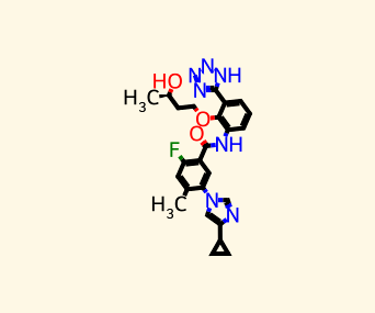 Cc1cc(F)c(C(=O)Nc2cccc(-c3nnn[nH]3)c2OCC[C@@H](C)O)cc1-n1cnc(C2CC2)c1